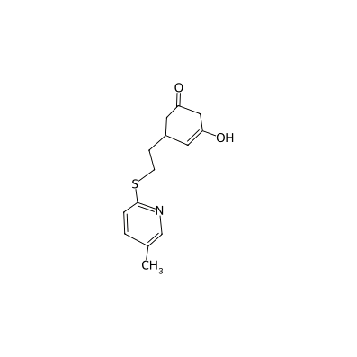 Cc1ccc(SCCC2C=C(O)CC(=O)C2)nc1